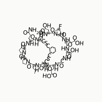 CC(C)C[C@@H]1NC(=O)[C@@H]2CSCc3ccccc3CSC[C@H](NC(=O)[C@H](CCC(N)=O)NC(=O)[C@@H]3CCCN3C(=O)[C@H]3CCCN3C1=O)C(=O)N[C@@H](CC(=O)O)C(=O)N1C[C@@H](F)C[C@H]1C(=O)N[C@@H](CCC(=O)O)C(=O)N[C@@H]([C@@H](C)O)C(=O)NCC(=O)N[C@@H](CCC(=O)O)C(=O)N2